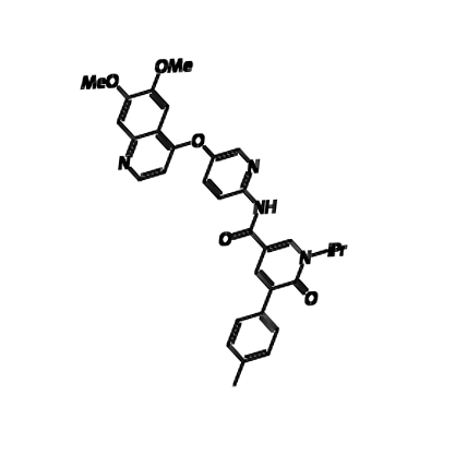 COc1cc2nccc(Oc3ccc(NC(=O)c4cc(-c5ccc(C)cc5)c(=O)n(C(C)C)c4)nc3)c2cc1OC